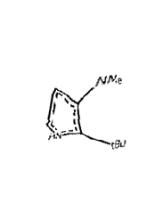 CNc1cc[nH]c1C(C)(C)C